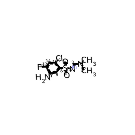 CN(C)/C=N/S(=O)(=O)c1cc(N)c(F)cc1Cl